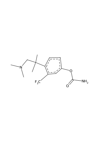 CN(C)CC(C)(C)c1ccc(OC(N)=O)cc1C(F)(F)F